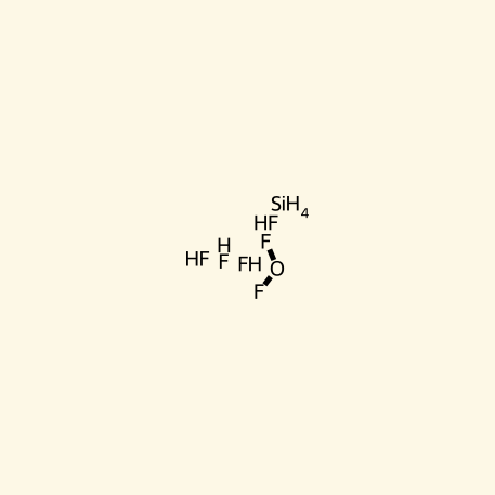 F.F.F.F.FOF.[SiH4]